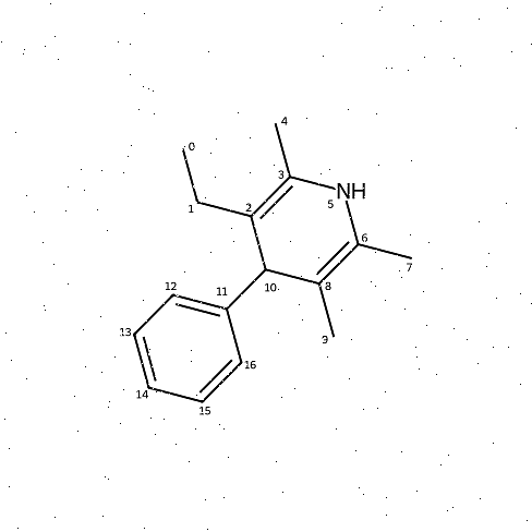 CCC1=C(C)NC(C)=C(C)C1c1ccccc1